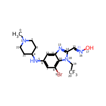 CN1CCC(Nc2cc(Br)c3c(c2)nc(/C=N/O)n3CC(F)(F)F)CC1